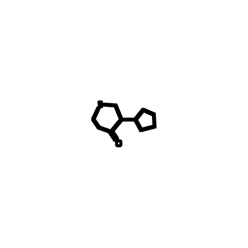 O=C1CCSCC1C1CCCC1